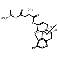 CC(=O)O[C@@H](CC(=O)O[C@@H](C)C(=O)O)C(=O)OC1=CC[C@@]2(O)[C@H]3Cc4ccc(O)c5c4[C@@]2(CCC3C)[C@H]1O5